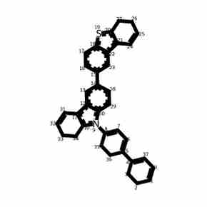 C1=CCCC(C2=CC=C(n3c4c(c5cc(-c6ccc7sc8c(c7c6)C=CCC8)ccc53)C=CCC4)CC2)=C1